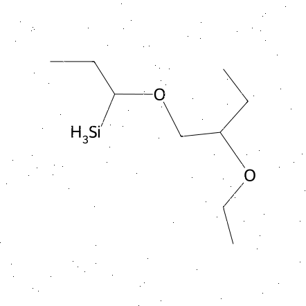 CCOC(CC)COC([SiH3])CC